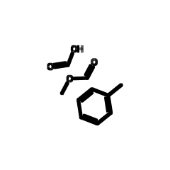 COC=O.Cc1ccccc1.O=CO